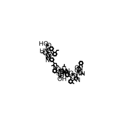 CCc1ccccc1-c1cccc([C@H](CC(=O)O)NC(=O)[C@H](CC(C)C)n2cnc3cc(C4CC(C)N(c5cccc([C@H](CC(=O)O)NC(=O)[C@H](CC(C)C)n6cnc7cc(Cc8cccc(C)c8-c8cncc([C@H](CC(=O)O)NC(=O)[C@@H](CC(C)C)N9Cc%10ccccc%10C9=O)c8)ccc7c6=O)c5)C4C)ccc3c2=O)c1